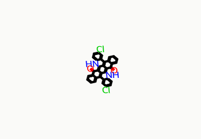 O=c1c2ccccc2c2c3cc(Cl)ccc3[nH]c3c4c(=O)c5ccccc5c5c6cc(Cl)ccc6[nH]c(c1c32)c45